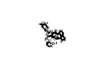 C#Cc1c(F)ccc2cccc(-c3ncc4c(N(C)C[C@H]5CCCCN5)nc(N5CCC(C)(O)CC5)nc4c3F)c12